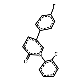 O=c1ccc(-c2ccc(F)cc2)cn1-c1ccccc1Cl